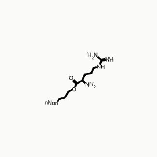 CCCCCCCCCCCCOC(=O)C(N)CCCNC(=N)N